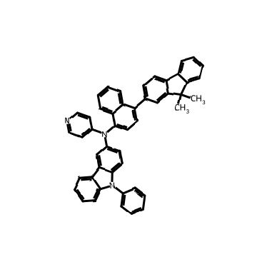 CC1(C)c2ccccc2-c2ccc(-c3ccc(N(c4ccncc4)c4ccc5c(c4)c4ccccc4n5-c4ccccc4)c4ccccc34)cc21